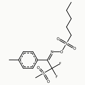 CCCCCS(=O)(=O)ON=C(c1ccc(C)cc1)C(F)(F)S(C)(=O)=O